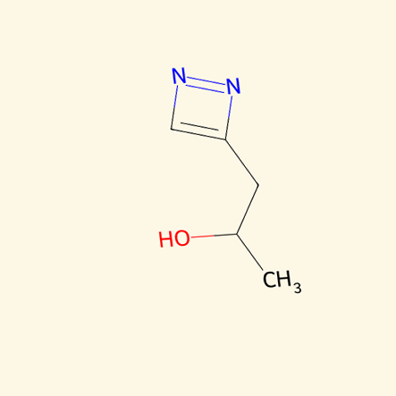 CC(O)CC1=CN=N1